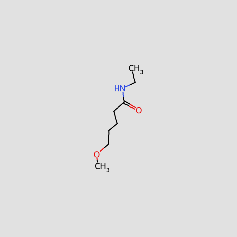 CCNC(=O)CCCCOC